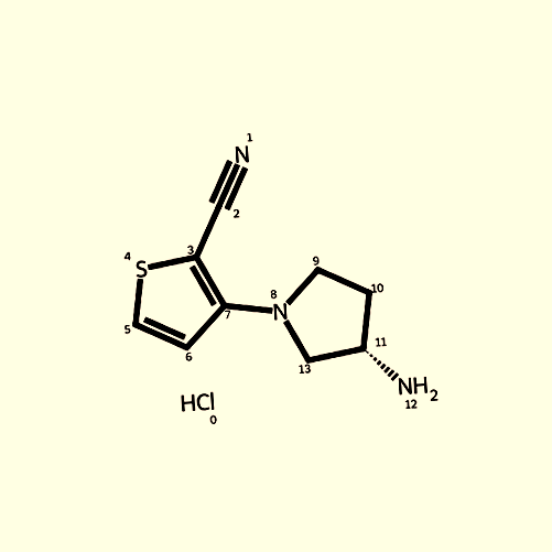 Cl.N#Cc1sccc1N1CC[C@H](N)C1